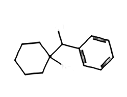 CC(c1ccccc1)C1(N)CCCCC1